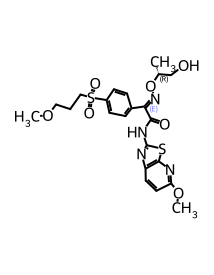 COCCCS(=O)(=O)c1ccc(/C(=N\O[C@H](C)CO)C(=O)Nc2nc3ccc(OC)nc3s2)cc1